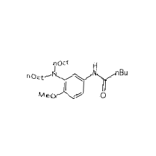 CCCCCCCCN(CCCCCCCC)c1cc(NC(=O)CCCC)ccc1OC